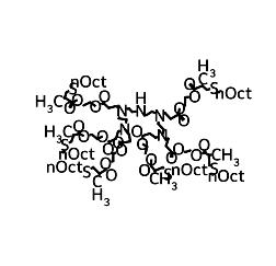 CCCCCCCCSCC(C)C(=O)OCCOC(=O)CCN(CCNCCN(CCC(=O)OCCOC(=O)C(C)CSCCCCCCCC)CCN(CCC(=O)OCCOC(=O)C(C)CSCCCCCCCC)CCC(=O)OCCOC(=O)C(C)CSCCCCCCCC)CCN(CCC(=O)OCCOC(=O)C(C)CSCCCCCCCC)CCC(=O)OCCOC(=O)C(C)CSCCCCCCCC